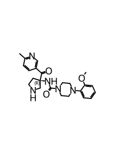 COc1ccccc1N1CCN(C(=O)N[C@]2(C(=O)c3ccc(C)nc3)CCNC2)CC1